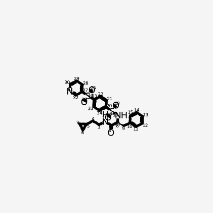 O=C(N[CH]CC1CC1)[C@H](Cc1ccccc1)NS(=O)(=O)c1ccc(S(=O)(=O)c2cccnc2)cc1